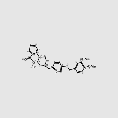 COc1ccc(COc2ccc(CN3CCN(c4ccccc4C(=O)OC(C)C)CC3)cc2)cc1OC